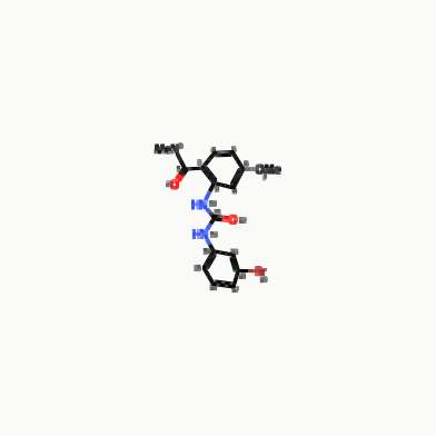 CNC(=O)c1ccc(OC)cc1NC(=O)Nc1cccc(Br)c1